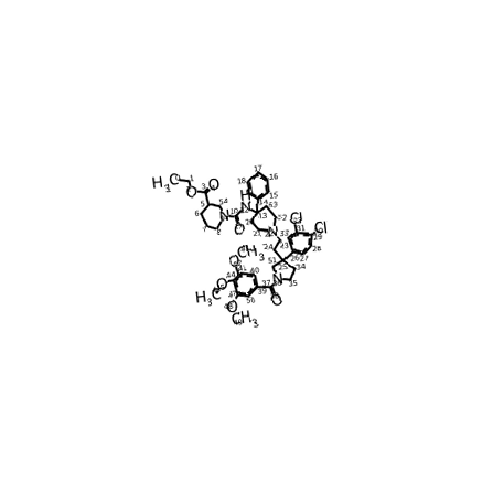 CCOC(=O)C1CCCN(C(=O)NC2(c3ccccc3)CCN(CCC3(c4ccc(Cl)c(Cl)c4)CCN(C(=O)c4cc(OC)c(OC)c(OC)c4)C3)CC2)C1